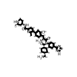 Cc1nc(C(=O)N[C@@H]2CCN[C@H](C)C2)ccc1-c1ccc(C[C@H](N)C(=O)N(c2ccc(-c3nn[nH]n3)cc2)C(=O)[C@H]2CC[C@H](CN)CC2)cc1.Cl